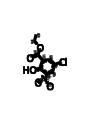 CCOC(=O)c1cc(Cl)cc([N+](=O)[O-])c1O